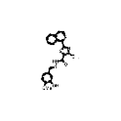 COc1ccc(/C=N/NC(=O)c2sc(-c3nccc4ccccc34)nc2C)cc1O